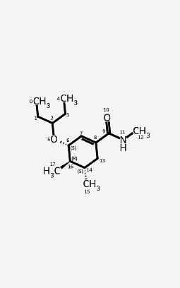 CCC(CC)O[C@@H]1C=C(C(=O)NC)C[C@H](C)[C@H]1C